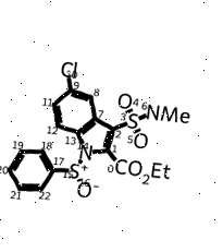 CCOC(=O)c1c(S(=O)(=O)NC)c2cc(Cl)ccc2n1[S+]([O-])c1ccccc1